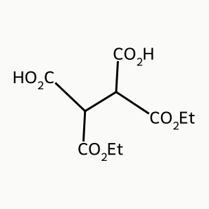 CCOC(=O)C(C(=O)O)C(C(=O)O)C(=O)OCC